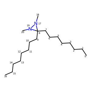 CCCCCCCCC1(CCCCCCCC)N(C)N1C